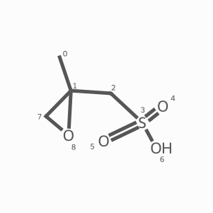 CC1(CS(=O)(=O)O)CO1